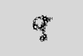 Cc1cc2[nH]ncc2c2c1CCCCOC[C@@H]1CCCN(C1)c1nc(OC[C@H]3CC[C@@H]4COCCN43)nc3c(F)c-2ncc13